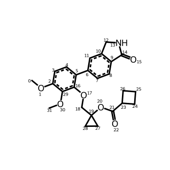 COc1ccc(-c2ccc3c(c2)CNC3=O)c(OCC2(OC(=O)C3CCC3)CC2)c1OC